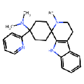 CC(=O)N1CCc2c([nH]c3ccccc23)C12CCC(c1ccccn1)(N(C)C)CC2